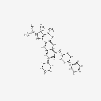 C=[N+]([O-])c1ncc(C(C)Oc2cnc3cc(N4CCOCC4)nc(O[C@H]4CC[C@@H](c5cnccn5)CC4)c3c2)n1C